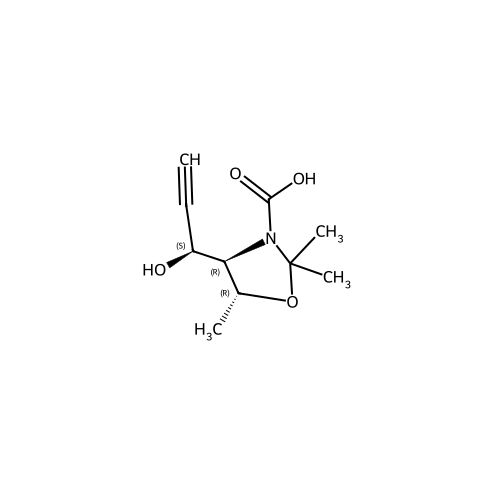 C#C[C@H](O)[C@@H]1[C@@H](C)OC(C)(C)N1C(=O)O